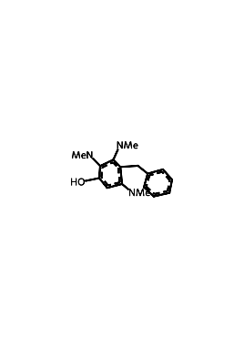 CNc1cc(O)c(NC)c(NC)c1Cc1ccccc1